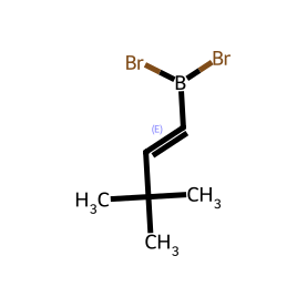 CC(C)(C)/C=C/B(Br)Br